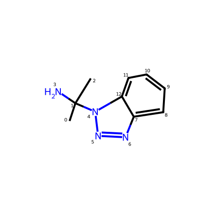 CC(C)(N)n1nnc2ccccc21